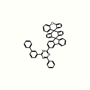 c1ccc(-c2cccc(-c3nc(-c4ccccc4)nc(-c4ccc5c(c4)-c4ccccc4C54c5ccccc5C5(c6ccccc6Oc6ccccc65)c5ccccc54)n3)c2)cc1